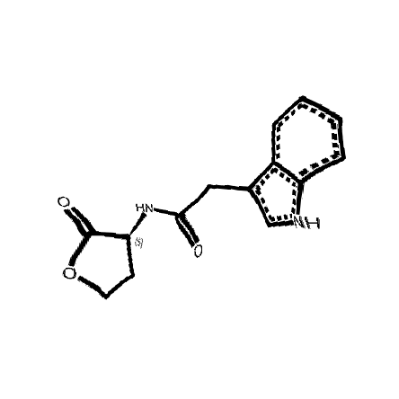 O=C(Cc1c[nH]c2ccccc12)N[C@H]1CCOC1=O